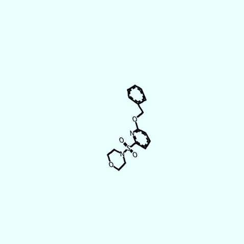 O=S(=O)(c1cccc(OCc2ccccc2)n1)N1CCOCC1